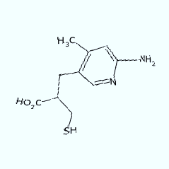 Cc1cc(N)ncc1CC(CS)C(=O)O